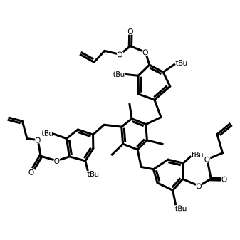 C=CCOC(=O)Oc1c(C(C)(C)C)cc(Cc2c(C)c(Cc3cc(C(C)(C)C)c(OC(=O)OCC=C)c(C(C)(C)C)c3)c(C)c(Cc3cc(C(C)(C)C)c(OC(=O)OCC=C)c(C(C)(C)C)c3)c2C)cc1C(C)(C)C